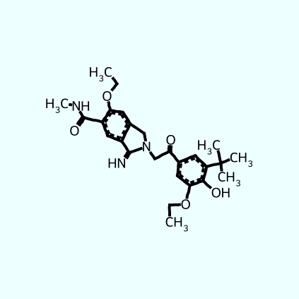 CCOc1cc2c(cc1C(=O)NC)C(=N)N(CC(=O)c1cc(OCC)c(O)c(C(C)(C)C)c1)C2